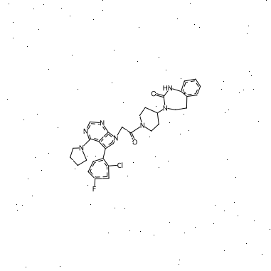 O=C(Cn1cc(-c2ccc(F)cc2Cl)c2c(N3CCCC3)ncnc21)N1CCC(N2CCc3ccccc3NC2=O)CC1